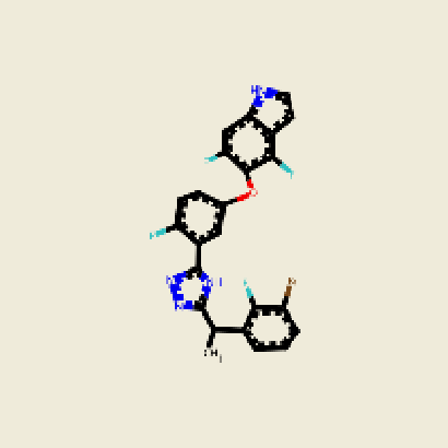 CC(c1nnc(-c2cc(Oc3c(F)cc4[nH]ccc4c3F)ccc2F)[nH]1)c1cccc(Br)c1F